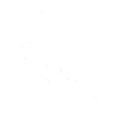 N#CCC(C1CCCC1)n1cc(-c2ccnc(Nc3cccc(C(=O)N4CCC(O)(c5ccccc5)CC4)c3)n2)cn1